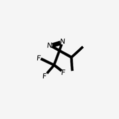 CC(C)C1(C(F)(F)F)N=N1